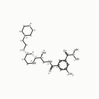 CCCN(CCC)C(=O)c1cc(C)cc(C(=O)NC[C@H](O)[C@H]2C[C@@H](OCCN3CCOCC3)CCN2)c1